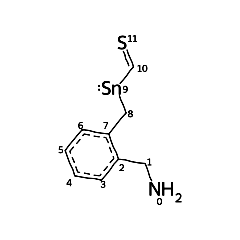 NCc1ccccc1[CH2][Sn][CH]=S